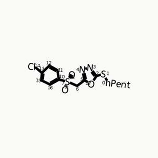 CCCCCSc1nnc(CS(=O)(=O)c2ccc(Cl)cc2)o1